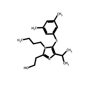 CCCCn1c(CCO)nc(C(C)C)c1Sc1cc(C)cc(C)c1